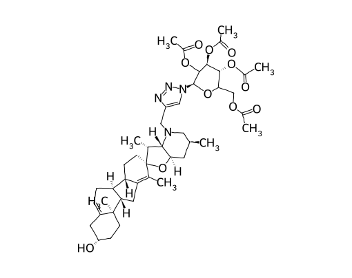 CC(=O)OCC1O[C@@H](n2cc(CN3C[C@@H](C)C[C@H]4O[C@]5(CC[C@@H]6C(=C5C)C[C@H]5[C@H]6CC=C6C[C@@H](O)CC[C@@]65C)[C@H](C)[C@@H]43)nn2)C(OC(C)=O)[C@@H](OC(C)=O)[C@@H]1OC(C)=O